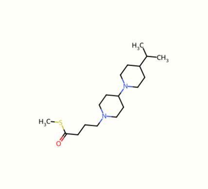 CSC(=O)CCCN1CCC(N2CCC(C(C)C)CC2)CC1